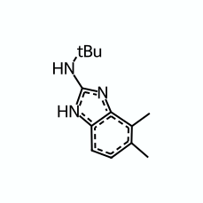 Cc1ccc2[nH]c(NC(C)(C)C)nc2c1C